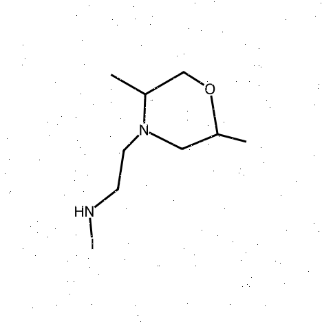 CC1CN(CCNI)C(C)CO1